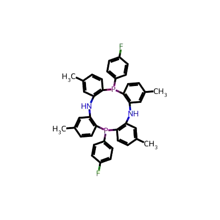 Cc1ccc2c(c1)Nc1cc(C)ccc1P(c1ccc(F)cc1)c1ccc(C)cc1Nc1cc(C)ccc1P2c1ccc(F)cc1